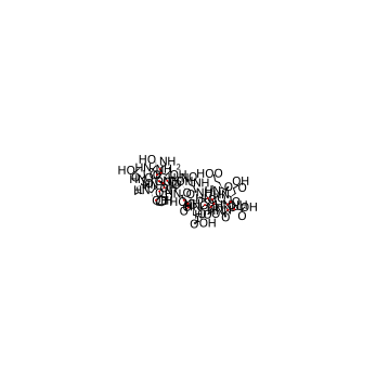 CC(C)C[C@H](NC(=O)[C@H](CC(=O)O)NC(=O)[C@H](CO)NC(=O)[C@@H](NC(=O)[C@H](Cc1ccccc1)NC(=O)[C@@H](NC(=O)CNC(=O)[C@H](CCC(=O)O)NC(=O)CNC(=O)[C@H](Cc1c[nH]cn1)NC(=O)[C@H](CCC(=O)O)NC(=O)[C@H](CCC(=O)O)NC(=O)[C@H](CCC(=O)O)NC(=O)[C@H](CCC(=O)O)NC(=O)[C@H](CCC(=O)O)NC(=O)[C@@H](N)CC(N)=O)[C@@H](C)O)[C@@H](C)O)C(=O)N[C@@H](CO)C(=O)N[C@@H](CCCCN)C(=O)O